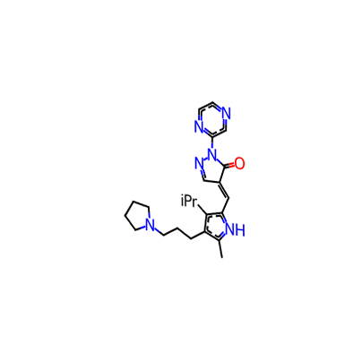 Cc1[nH]c(C=C2C=NN(c3cnccn3)C2=O)c(C(C)C)c1CCCN1CCCC1